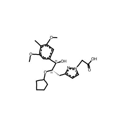 COc1cc([C@@H](O)[C@H](Cc2ccn(CC(=O)O)n2)OC2CCCC2)cc(OC)c1C